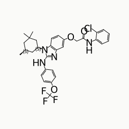 C[C@@H]1C[C@H](n2c(Nc3ccc(OC(F)(F)F)cc3)nc3cc(OCC(=O)Nc4ccccc4Cl)ccc32)CC(C)(C)C1